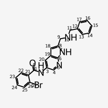 O=C(Nc1cnc2[nH]c(CNCc3ccccc3)cc2c1)c1ccccc1Br